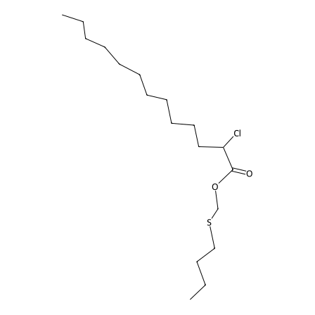 CCCCCCCCCCCC(Cl)C(=O)OCSCCCC